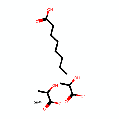 CC(O)C(=O)[O-].CC(O)C(=O)[O-].CCCCCCCC(=O)O.[Sn+2]